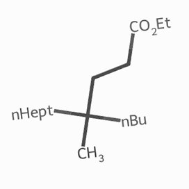 CCCCCCCC(C)(CCCC)CCC(=O)OCC